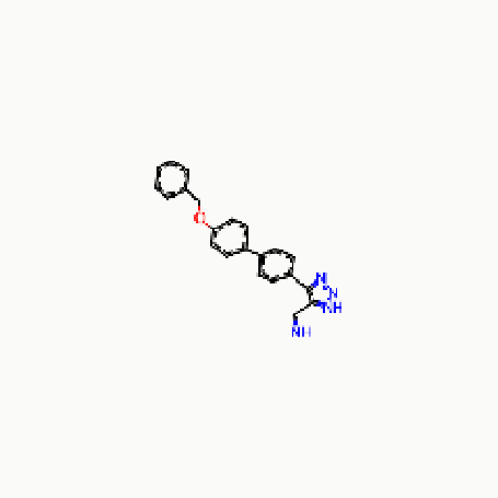 N=Cc1[nH]nnc1-c1ccc(-c2ccc(OCc3ccccc3)cc2)cc1